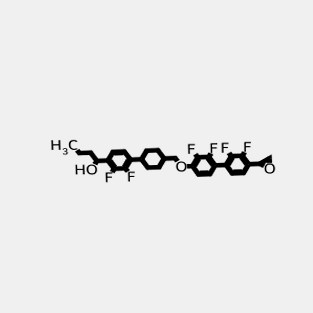 CCCC(O)c1ccc(C2CCC(COc3ccc(-c4ccc(C5CO5)c(F)c4F)c(F)c3F)CC2)c(F)c1F